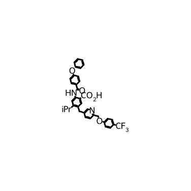 CC(C)c1cc(NC(=O)c2ccc(Oc3ccccc3)cc2)c(C(=O)O)cc1Cc1ccc(COc2ccc(C(F)(F)F)cc2)nc1